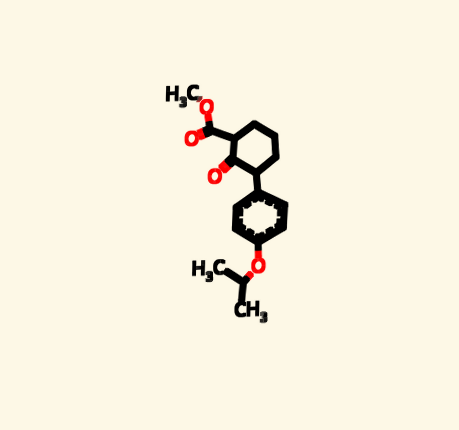 COC(=O)C1CCCC(c2ccc(OC(C)C)cc2)C1=O